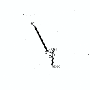 C#CC#CC#CC#CC#CC#CC#CC(=O)OC[C@H](CO)OC(=O)CCCCCCCCCCCCCC